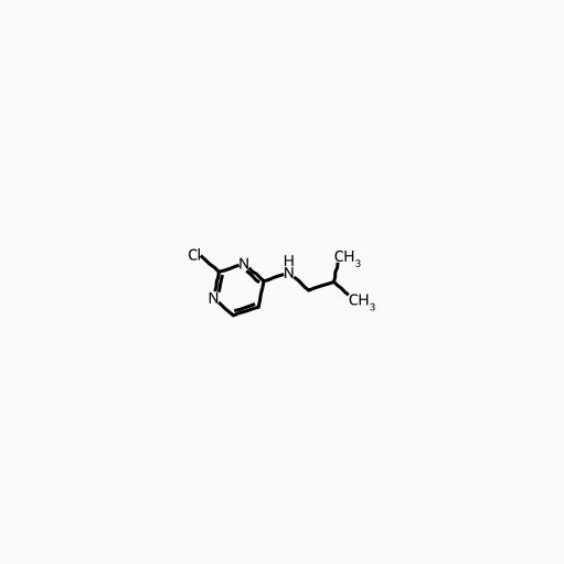 CC(C)CNc1ccnc(Cl)n1